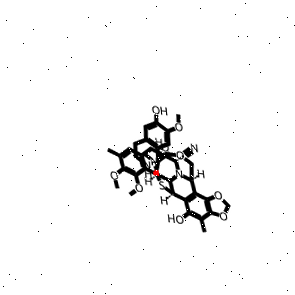 COc1cc2c(cc1O)CCN[C@]21CS[C@@H]2c3c(O)c(C)c4c(c3[C@H](COC1=O)N1C2[C@H]2c3c(cc(C)c(OC)c3OC)C[C@@H]([C@@H]1C#N)N2C)OCO4